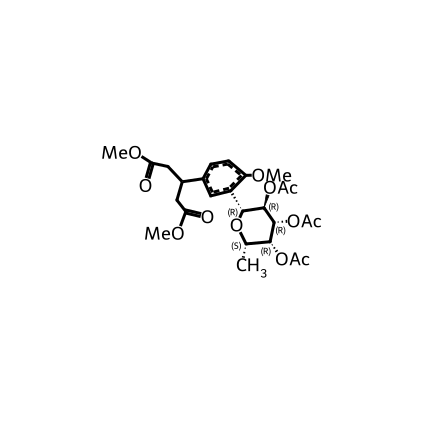 COC(=O)CC(CC(=O)OC)c1ccc(OC)c([C@H]2O[C@@H](C)[C@@H](OC(C)=O)[C@@H](OC(C)=O)[C@@H]2OC(C)=O)c1